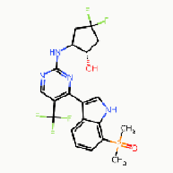 CP(C)(=O)c1cccc2c(-c3nc(NC4CC(F)(F)C[C@@H]4O)ncc3C(F)(F)F)c[nH]c12